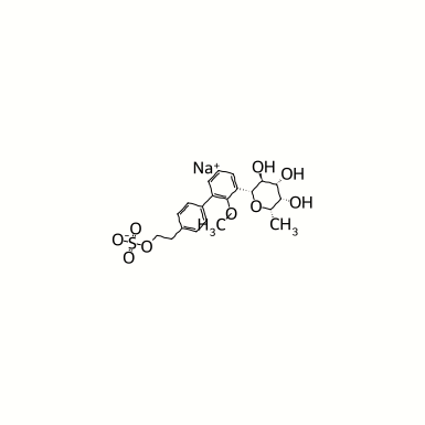 COc1c(-c2ccc(CCOS(=O)(=O)[O-])cc2)cccc1[C@H]1O[C@@H](C)[C@@H](O)[C@@H](O)[C@@H]1O.[Na+]